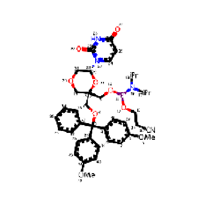 COc1ccc(C(OC[C@@]2(COP(OCCC#N)N(C(C)C)C(C)C)COC[C@H](n3ccc(=O)[nH]c3=O)O2)(c2ccccc2)c2ccc(OC)cc2)cc1